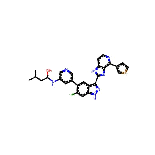 CC(C)CC(O)Nc1cncc(-c2cc3c(-c4nc5c(-c6ccsc6)nccc5[nH]4)n[nH]c3cc2F)c1